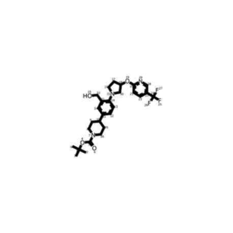 CC(C)(C)OC(=O)N1CCC(c2ccc(N3CCC(Oc4ccc(C(F)(F)F)cn4)C3)c(CO)c2)CC1